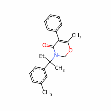 CCC(C)(c1cccc(C)c1)N1COC(C)=C(c2ccccc2)C1=O